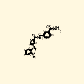 C=Nc1ccccc1N(C)c1csc(C(=O)NCc2cccc(C(N)=O)c2)c1